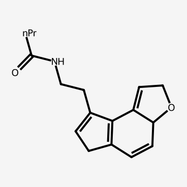 CCCC(=O)NCCC1=CCC2=C1C1=CCOC1C=C2